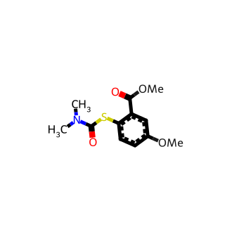 COC(=O)c1cc(OC)ccc1SC(=O)N(C)C